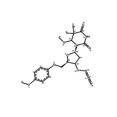 COc1ccc(OC[C@H]2O[C@@H](N3C(=O)NC(=O)C(C)(Br)C3OC)CC2ON=[N+]=[N-])cc1